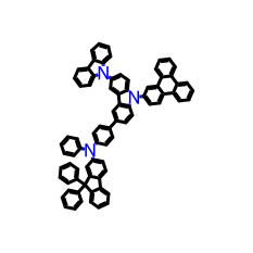 c1ccc(N(c2ccc(-c3ccc4c(c3)c3cc(-n5c6ccccc6c6ccccc65)ccc3n4-c3ccc4c5ccccc5c5ccccc5c4c3)cc2)c2ccc3c(c2)C(c2ccccc2)(c2ccccc2)c2ccccc2-3)cc1